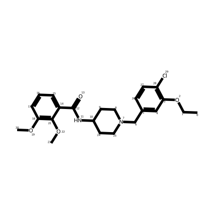 CCOc1cc(CN2CCC(NC(=O)c3cccc(OC)c3OC)CC2)ccc1Cl